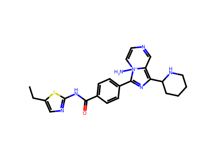 CCc1cnc(NC(=O)c2ccc(C3=NC(C4CCCCN4)=C4C=NC=C[N+]34N)cc2)s1